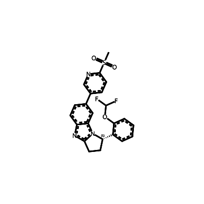 CS(=O)(=O)c1ccc(-c2ccc3nc4n(c3c2)[C@H](c2ccccc2OC(F)F)CC4)cn1